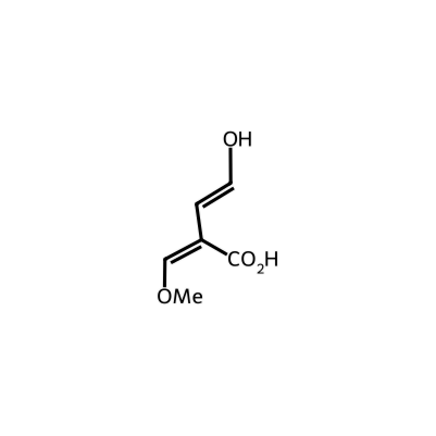 CO/C=C(/C=C/O)C(=O)O